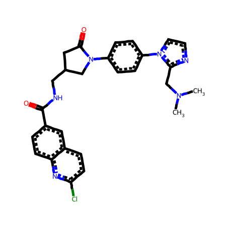 CN(C)Cc1nccn1-c1ccc(N2CC(CNC(=O)c3ccc4nc(Cl)ccc4c3)CC2=O)cc1